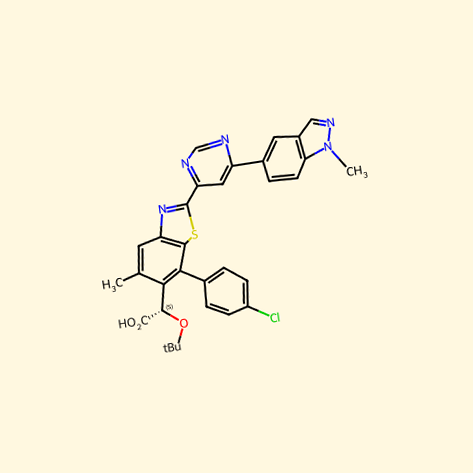 Cc1cc2nc(-c3cc(-c4ccc5c(cnn5C)c4)ncn3)sc2c(-c2ccc(Cl)cc2)c1[C@H](OC(C)(C)C)C(=O)O